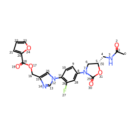 CC(=O)NC[C@H]1CN(c2ccc(-n3cnc(COC(=O)c4ccco4)c3)c(F)c2)C(=O)O1